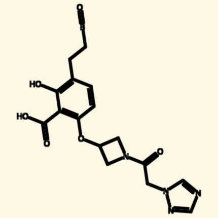 O=BCCc1ccc(OC2CN(C(=O)Cn3cncn3)C2)c(C(=O)O)c1O